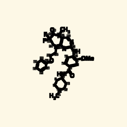 COc1cc(C(=O)NC2CCN(C)CC2)ccc1Nc1ncc2c(n1)N(CCOc1ccccc1)CC(F)(F)C(=O)N2C